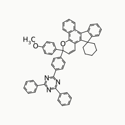 COc1ccc(C2(c3ccc(-c4nc(-c5ccccc5)nc(-c5ccccc5)n4)cc3)C=Cc3c4c(c5ccccc5c3O2)-c2ccccc2C42CCCCC2)cc1